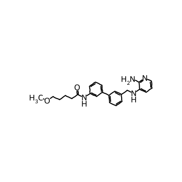 COCCCCC(=O)Nc1cccc(-c2cccc(CNc3cccnc3N)c2)c1